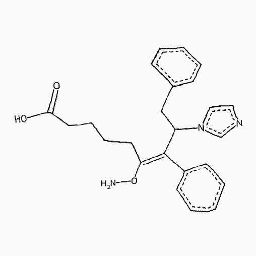 NOC(CCCCC(=O)O)=C(c1ccccc1)C(Cc1ccccc1)n1ccnc1